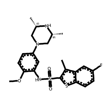 COc1ccc(N2C[C@@H](C)N[C@@H](C)C2)cc1NS(=O)(=O)c1sc2ccc(F)cc2c1C